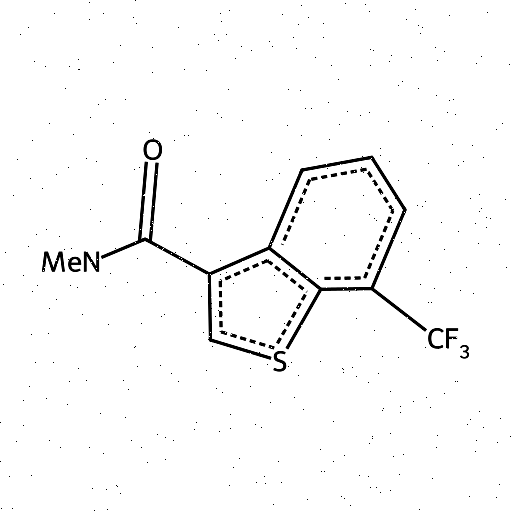 CNC(=O)c1csc2c(C(F)(F)F)cccc12